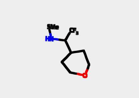 CSNC(C1CCOCC1)C(F)(F)F